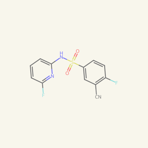 N#Cc1cc(S(=O)(=O)Nc2cccc(F)n2)ccc1F